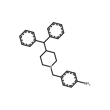 Nc1ccc(CN2CCC(C(c3ccccc3)c3ccccc3)CC2)cc1